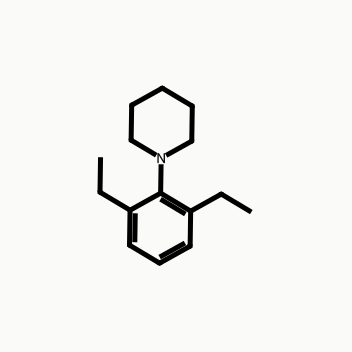 CCc1cccc(CC)c1N1CCCCC1